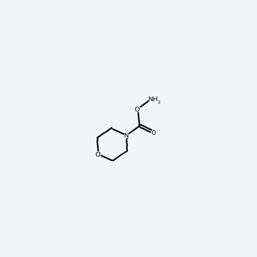 NOC(=O)N1CCOCC1